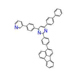 c1ccc(-c2ccc(-c3cc(-c4ccc(-c5cccnc5)cc4)nc(-c4ccc(-c5ccc6c7c(cccc57)-c5ccccc5-6)cc4)n3)cc2)cc1